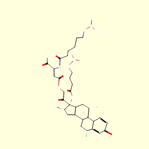 C[C@@H]1CC2C3C[C@H](F)C4=CC(=O)C=C[C@]4(C)[C@@]3(F)[C@@H](O)C[C@]2(C)[C@@]1(OC(=O)CCCON(O)O)C(=O)COC(=O)CC(NC(=O)CCCCCON(O)O)C(=O)O